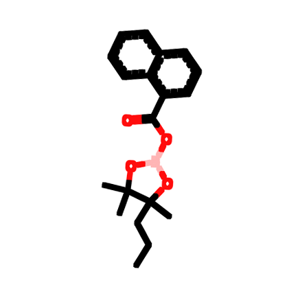 CCCC1(C)OB(OC(=O)c2cccc3ccccc23)OC1(C)C